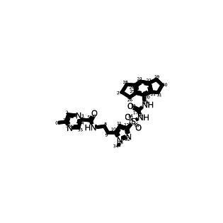 Cc1cnc(C(=O)NCCc2cc(S(=O)(=O)NC(=O)Nc3c4c(cc5c3CCC5)CCC4)nn2C)cn1